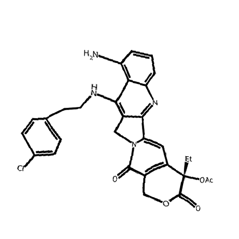 CC[C@@]1(OC(C)=O)C(=O)OCc2c1cc1n(c2=O)Cc2c-1nc1cccc(N)c1c2NCCc1ccc(Cl)cc1